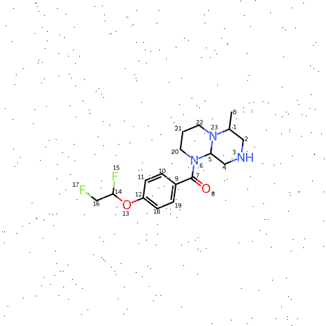 CC1CNCC2N(C(=O)c3ccc(OC(F)CF)cc3)CCCN12